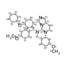 COc1ccc(CN(Cc2ccc(OC)cc2)c2nccc3cnc(-c4ccc(Oc5ccccc5)cc4)n23)cc1